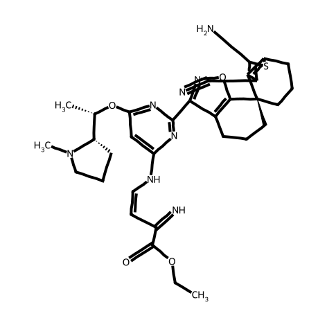 CCOC(=O)C(=N)/C=C\Nc1cc(O[C@@H](C)[C@@H]2CCCN2C)nc(-c2noc3c2CCC[C@@]32CCCc3sc(N)c(C#N)c32)n1